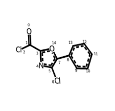 O=C(Cl)c1nc(Cl)c(-c2ccccc2)o1